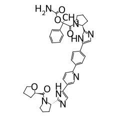 C[C@](OC(N)=O)(C(=O)N1CCC[C@H]1c1ncc(-c2ccc(-c3ccc(-c4cnc([C@@H]5CCCN5C(=O)[C@H]5CCCO5)[nH]4)cn3)cc2)[nH]1)c1ccccc1